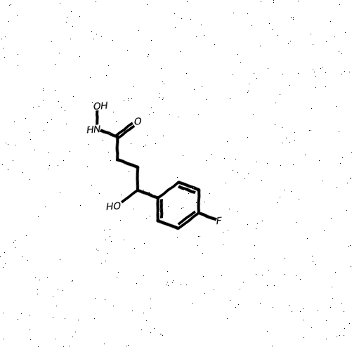 O=C(CCC(O)c1ccc(F)cc1)NO